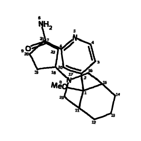 COC1(c2ccnc(C(N)=O)c2)C2CCCC1CN(C1CCCC1)C2